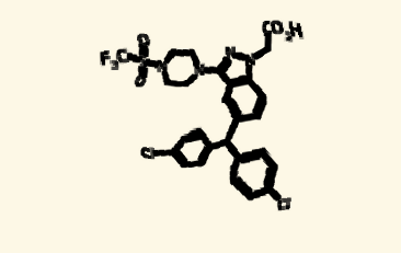 O=C(O)Cn1nc(N2CCN(S(=O)(=O)C(F)(F)F)CC2)c2cc(C(c3ccc(Cl)cc3)c3ccc(Cl)cc3)ccc21